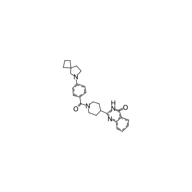 O=C(c1ccc(N2CCC3(CCC3)C2)cc1)N1CCC(c2nc3ccccc3c(=O)[nH]2)CC1